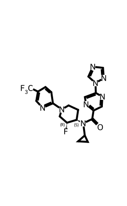 O=C(c1cnc(-n2cncn2)cn1)N(C1CC1)[C@H]1CCN(c2ccc(C(F)(F)F)cn2)C[C@H]1F